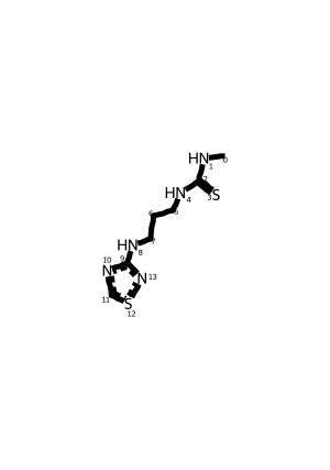 CNC(=S)NCCCNc1ncsn1